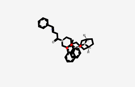 Cc1nc2ccccc2n1[C@H]1C[C@H]2CC[C@@H](C1)N2CCC1(c2ccccc2)CCN(C(=O)C/C=C/c2ccccc2)CC1